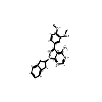 CNc1cc(-c2nn(C3Cc4ccccc4C3)c3ncnc(N)c23)ccc1OC